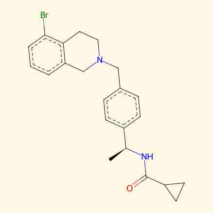 C[C@H](NC(=O)C1CC1)c1ccc(CN2CCc3c(Br)cccc3C2)cc1